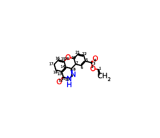 C=COC(=O)C1=CC2c3n[nH]c(=O)c4c3C(=CCC4)OC2C=C1